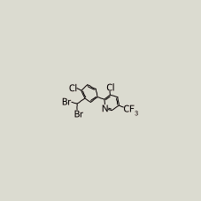 FC(F)(F)c1cnc(-c2ccc(Cl)c(C(Br)Br)c2)c(Cl)c1